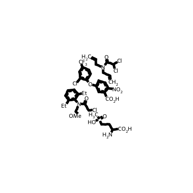 C=CCN(CC=C)C(=O)C(Cl)Cl.CCc1cccc(CC)c1N(COC)C(=O)CCl.CP(=O)(O)CCC(N)C(=O)O.O=C(O)c1cc(Oc2ccc(C(F)(F)F)cc2Cl)ccc1[N+](=O)[O-]